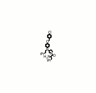 CC(C)CCN(c1ccc(OCc2ccc(Cl)cc2)cc1)[C@H]1CCN(C(=O)C(N)CC(C)C)C1